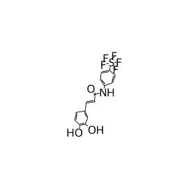 O=C(C=Cc1ccc(O)c(O)c1)Nc1ccc(S(F)(F)(F)(F)F)cc1